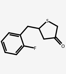 O=C1CSC(Cc2ccccc2F)C1